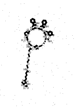 C[C@H]1NC(=O)[C@@H](NC(=O)COCCOCCOCCNC(=O)CCCCC2SC[C@@H]3NC(=O)N[C@H]23)Cc2cn(nn2)CCCC[C@@H](C(N)=O)NC(=O)[C@H](Cc2ccc(F)cc2)NC(=O)[C@@H](Cc2c[nH]c3ccccc23)NC(=O)[C@@H](Cc2c[nH]c3ccccc23)NC(=O)[C@H]2CCCN2C1=O